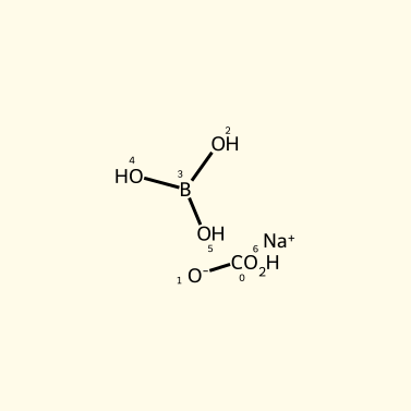 O=C([O-])O.OB(O)O.[Na+]